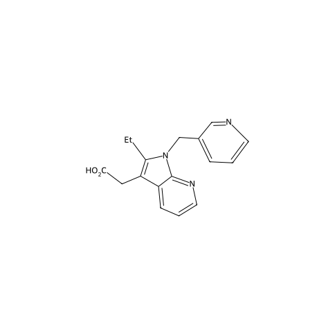 CCc1c(CC(=O)O)c2cccnc2n1Cc1cccnc1